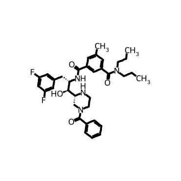 CCCN(CCC)C(=O)c1cc(C)cc(C(=O)N[C@@H](Cc2cc(F)cc(F)c2)[C@H](O)[C@H]2CN(C(=O)c3ccccc3)CCN2)c1